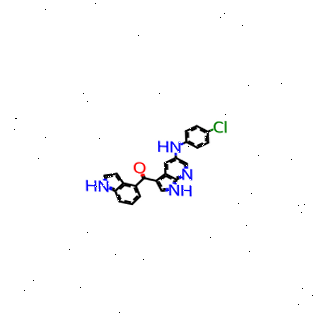 O=C(c1cccc2[nH]ccc12)c1c[nH]c2ncc(Nc3ccc(Cl)cc3)cc12